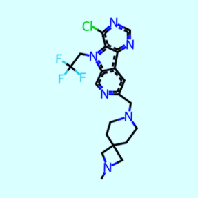 CN1CC2(CCN(Cc3cc4c5ncnc(Cl)c5n(CC(F)(F)F)c4cn3)CC2)C1